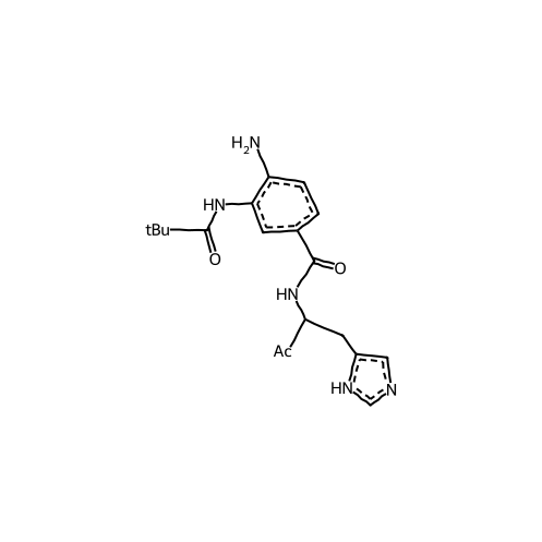 CC(=O)C(Cc1cnc[nH]1)NC(=O)c1ccc(N)c(NC(=O)C(C)(C)C)c1